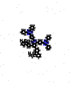 CC1(C)c2ccccc2-c2ccc(-c3cc(-c4ccc5c(c4)C(C)(C)c4ccccc4-5)c4nc(-c5ccc(-c6nc(-c7ccccc7)nc(-c7ccccc7)n6)cc5)nc(-c5ccc(-c6nc(-c7ccccc7)nc(-c7ccccc7)n6)cc5)c4c3)cc21